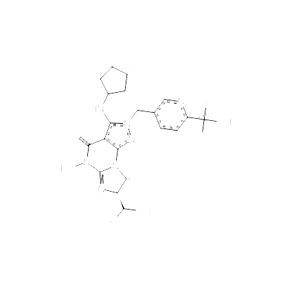 CC(C)[C@@H]1CN2C(=N1)N(C)C(=S)c1c2nn(Cc2ccc(C(C)(F)F)nc2)c1NC1CCCC1